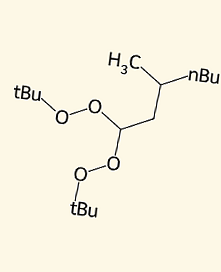 CCCCC(C)CC(OOC(C)(C)C)OOC(C)(C)C